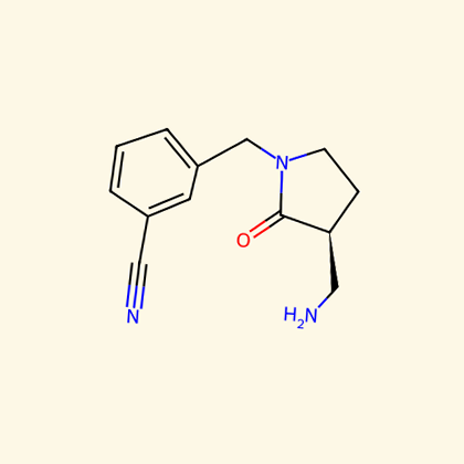 N#Cc1cccc(CN2CC[C@@H](CN)C2=O)c1